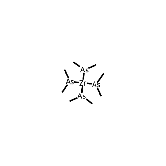 C[As](C)[Zr]([As](C)C)([As](C)C)[As](C)C